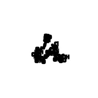 CC[C@@]1(O)C(=O)OCc2c1cc1n(c2=O)Cc2c-1nc1cc(Cl)c(C)c3c1c2[C@@H](NC(=O)COCNC(=O)[C@H](C)NC(=O)[C@H](C)NC(=O)[C@H](C)NC(=O)CCCC#Cc1cnc(S(C)(=O)=O)nc1)CC3